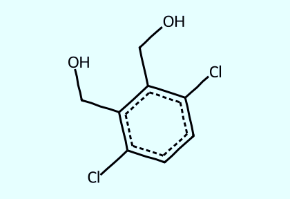 OCc1c(Cl)ccc(Cl)c1CO